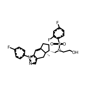 C[C@]12Cc3cnn(-c4ccc(F)cc4)c3C=C1CC[C@@H]2CN(CCO)S(=O)(=O)c1ccc(F)cc1F